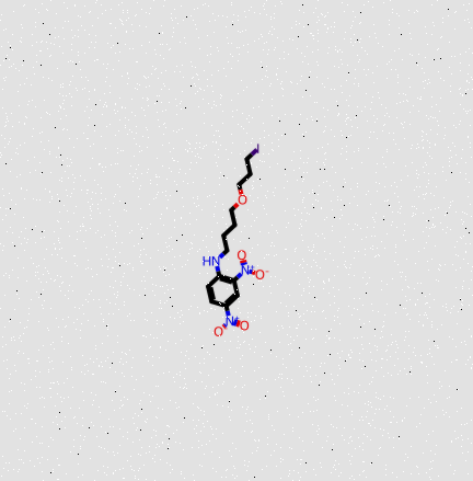 O=[N+]([O-])c1ccc(NCCCCOCCCI)c([N+](=O)[O-])c1